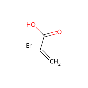 C=CC(=O)O.[Er]